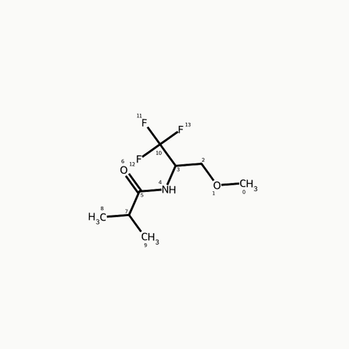 COCC(NC(=O)C(C)C)C(F)(F)F